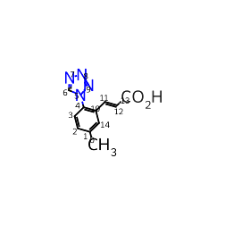 Cc1ccc(-n2cnnn2)c(C=CC(=O)O)c1